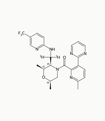 [2H]C([2H])(Nc1ccc(C(F)(F)F)cn1)[C@@H]1[C@H](C)O[C@H](C)CN1C(=O)c1nc(C)ccc1-c1ncccn1